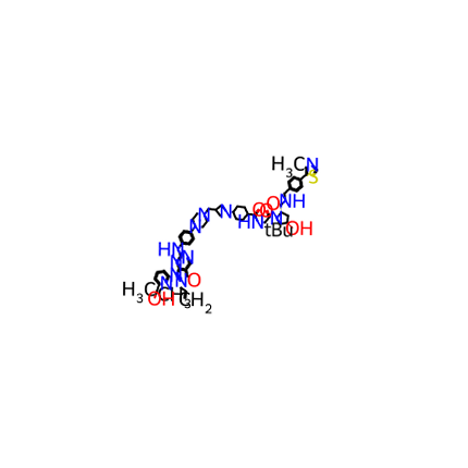 C=CCn1c(=O)c2cnc(Nc3ccc(N4CCN(CC5CN(C6CCC(C(=O)N[C@H](C(=O)N7C[C@H](O)C[C@H]7C(=O)NCc7ccc(-c8scnc8C)cc7)C(C)(C)C)CC6)C5)CC4)cc3)nc2n1-c1cccc(C(C)(C)O)n1